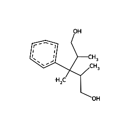 [CH2]C(c1ccccc1)(C(C)CO)C(C)CO